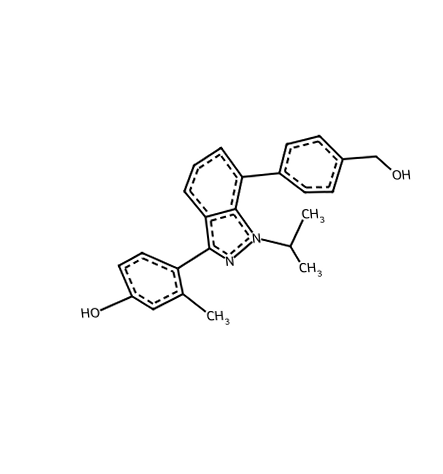 Cc1cc(O)ccc1-c1nn(C(C)C)c2c(-c3ccc(CO)cc3)cccc12